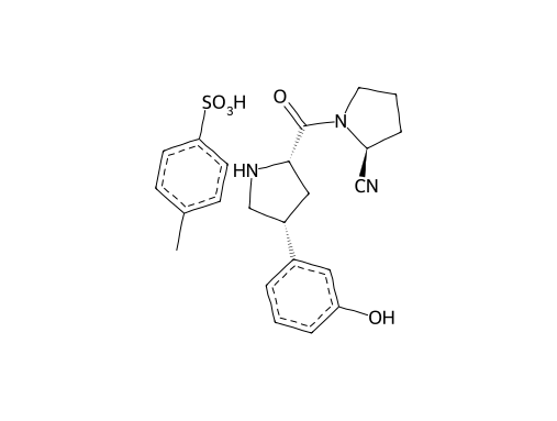 Cc1ccc(S(=O)(=O)O)cc1.N#C[C@@H]1CCCN1C(=O)[C@@H]1C[C@H](c2cccc(O)c2)CN1